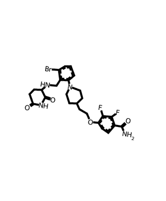 NC(=O)c1ccc(OCCC2CCN(c3cccc(Br)c3CNC3CCC(=O)NC3=O)CC2)c(F)c1F